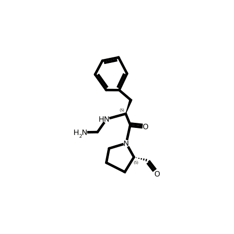 NCN[C@@H](Cc1ccccc1)C(=O)N1CCC[C@H]1C=O